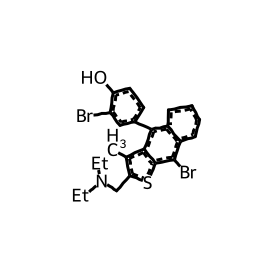 CCN(CC)Cc1sc2c(Br)c3ccccc3c(-c3ccc(O)c(Br)c3)c2c1C